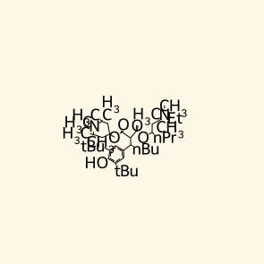 CCCCC(c1cc(C(C)(C)C)c(O)c(C(C)(C)C)c1)C(C(=O)OC(CCC)CC(C)(C)N(C)CC)C(=O)OC1CC(C)(C)N(C)C(C)(C)C1